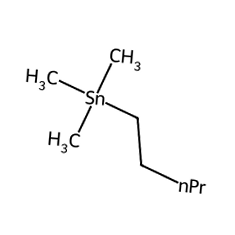 CCCC[CH2][Sn]([CH3])([CH3])[CH3]